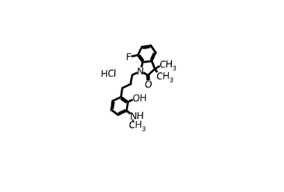 CNc1cccc(CCCN2C(=O)C(C)(C)c3cccc(F)c32)c1O.Cl